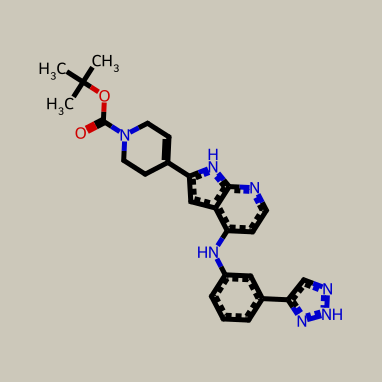 CC(C)(C)OC(=O)N1CC=C(c2cc3c(Nc4cccc(-c5cn[nH]n5)c4)ccnc3[nH]2)CC1